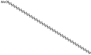 COSSSSSSSSSSSSSSSSSSSSSSSSSSSSSSSSSSSSSSSSSSSSSSSSSSSSSSSSSSSSSSSS